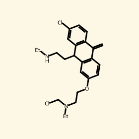 C=C1c2ccc(Cl)cc2C(CCNCC)c2cc(OCCN(CC)CCl)ccc21